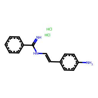 Cl.Cl.N=C(N/C=C/c1ccc(N)cc1)c1ccccc1